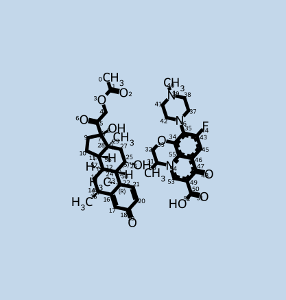 CC(=O)OCC(=O)[C@@]1(O)CC[C@H]2[C@@H]3C[C@H](C)C4=CC(=O)C=C[C@]4(C)[C@H]3[C@@H](O)C[C@@]21C.CC1COc2c(N3CCN(C)CC3)c(F)cc3c(=O)c(C(=O)O)cn1c23